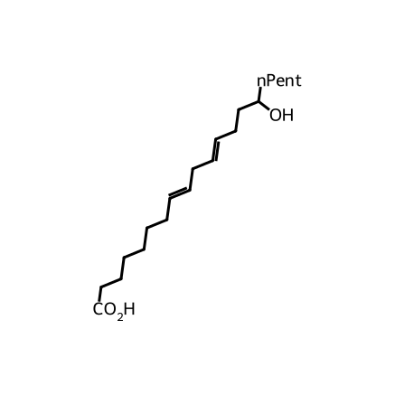 CCCCCC(O)CCC=CCC=CCCCCCCC(=O)O